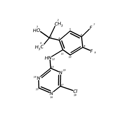 CC(C)(O)c1cc(F)c(F)cc1Nc1ncnc(Cl)n1